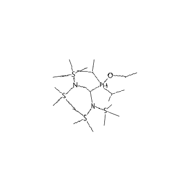 CCO[PH](C(C)C)(C(C)C)C(N(S(C)(C)C)S(C)(C)C)N(S(C)(C)C)S(C)(C)C